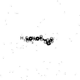 CN(C)c1ccc(N=Nc2ccc(C(=O)OCCCS(=O)(=O)N3CCCSC3=C[N+](=O)[O-])cc2)cc1